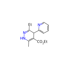 CCOC(=O)C1=C(C)NN=C(CC)C1c1ccccn1